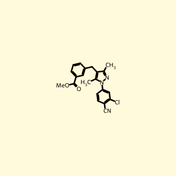 COC(=O)c1cccc(Cc2c(C)nn(-c3ccc(C#N)c(Cl)c3)c2C)c1